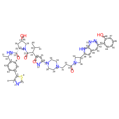 Cc1ncsc1-c1ccc(C(C)NC(=O)[C@@H]2C[C@@H](O)CN2C(=O)C(c2cc(N3CCN(CCC(=O)N4CC(c5cc6cc(-c7ccccc7O)nnc6[nH]5)C4)CC3)no2)C(C)C)cc1